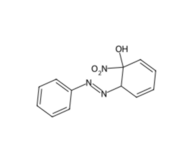 O=[N+]([O-])C1(O)C=CC=CC1N=Nc1ccccc1